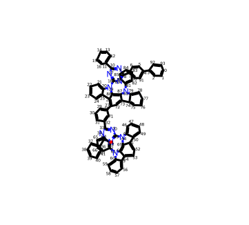 c1ccc(-c2ccc(-c3nc(-c4ccccc4)nc(-n4c5ccccc5c5c(-c6cccc(-c7nc(-c8ccccc8)nc(-n8c9ccccc9c9ccc%10c%11ccccc%11n(-c%11ccccc%11)c%10c98)n7)c6)cc6c7ccccc7n(-c7ccccc7)c6c54)n3)cc2)cc1